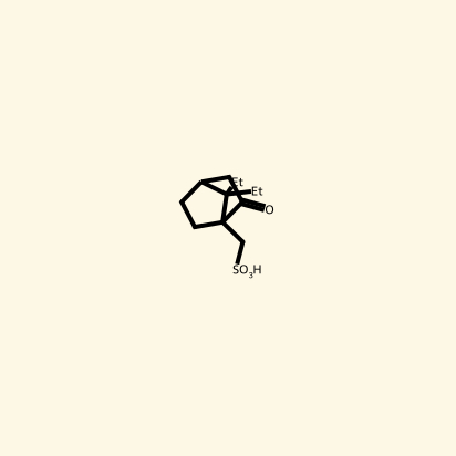 CCC1(CC)C2CCC1(CS(=O)(=O)O)C(=O)C2